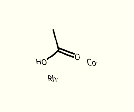 CC(=O)O.[Co].[Rh]